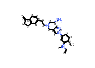 C=CN(C)c1cc(-n2cc(CN(CCN)CCc3ccc4c(c3)CCC4=C)cn2)ccc1CC